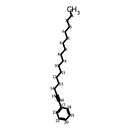 CCCCCCCCCCCCCCCC#Cc1[c]cccc1